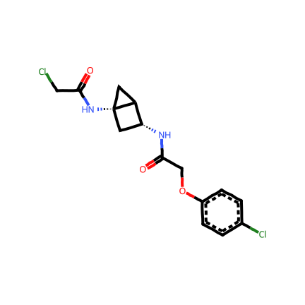 O=C(COc1ccc(Cl)cc1)N[C@@H]1C[C@@]2(NC(=O)CCl)CC12